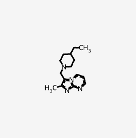 CCC1CCN(Cc2c(C)nc3ncccn23)CC1